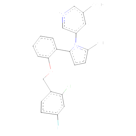 Cc1ccc(-c2ccccc2OCc2ccc(F)cc2Cl)n1-c1cncc(C(=O)O)c1